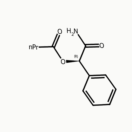 CCCC(=O)O[C@@H](C(N)=O)c1ccccc1